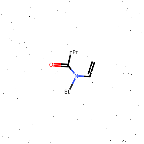 C=CN(CC)C(=O)CCC